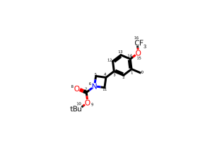 Cc1cc(C2CN(C(=O)OC(C)(C)C)C2)ccc1OC(F)(F)F